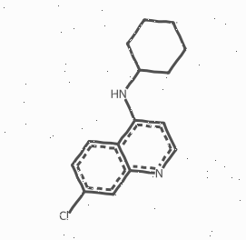 Clc1ccc2c(NC3CC[CH]CC3)ccnc2c1